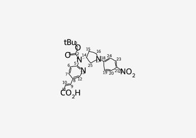 CC(C)(C)OC(=O)N(c1ccc(C=CC(=O)O)cn1)[C@@H]1CCN(c2ccc([N+](=O)[O-])cc2)C1